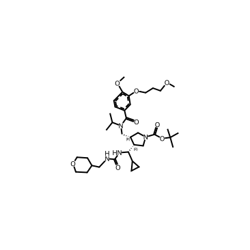 COCCCOc1cc(C(=O)N(C[C@@H]2CN(C(=O)OC(C)(C)C)C[C@@H]2C(NC(=O)NCC2CCOCC2)C2CC2)C(C)C)ccc1OC